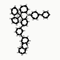 c1ccc(-c2ccc(N3c4ccccc4C(c4ccccc4)(c4ccccc4)c4cc(-c5cccc(-c6ccc7sc8ccccc8c7c6)c5)ccc43)cc2)cc1